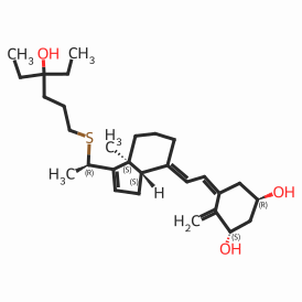 C=C1C(=CC=C2CCC[C@]3(C)C([C@@H](C)SCCCC(O)(CC)CC)=CC[C@@H]23)C[C@@H](O)C[C@@H]1O